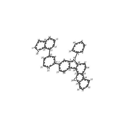 c1ccc(-n2c3cc(-c4cc(-c5cccc6ccsc56)ccn4)ccc3c3c4oc5ccccc5c4ccc32)cc1